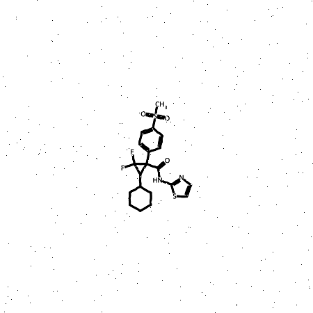 CS(=O)(=O)c1ccc(C2(C(=O)Nc3nccs3)C(C3CCCCC3)C2(F)F)cc1